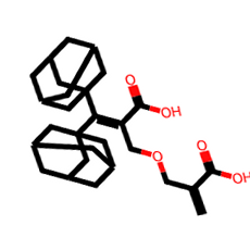 C=C(COCC(C(=O)O)=C(C12CC3CC(CC(C3)C1)C2)C12CC3CC(CC(C3)C1)C2)C(=O)O